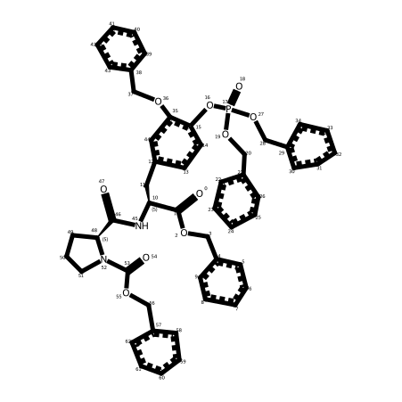 O=C(OCc1ccccc1)[C@H](Cc1ccc(OP(=O)(OCc2ccccc2)OCc2ccccc2)c(OCc2ccccc2)c1)NC(=O)[C@@H]1CCCN1C(=O)OCc1ccccc1